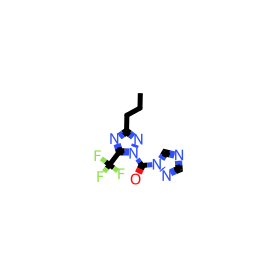 CCCc1nc(C(F)(F)F)n(C(=O)n2cncn2)n1